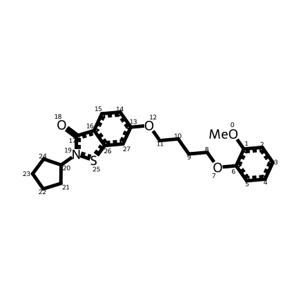 COc1ccccc1OCCCCOc1ccc2c(=O)n(C3CCCC3)sc2c1